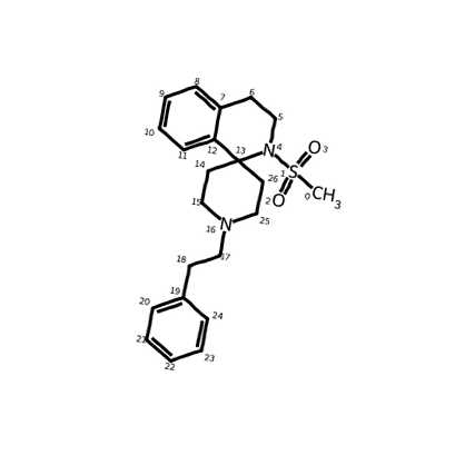 CS(=O)(=O)N1CCc2ccccc2C12CCN(CCc1ccccc1)CC2